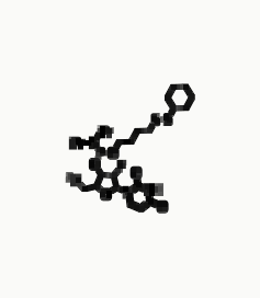 [2H]CC1OC(n2ccc(=O)[nH]c2=O)C(F)C1OP(OCCCCSSC1CCCCC1)N(C(C)C)C(C)C